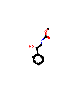 COC(=O)NC[C@@H](O)c1ccccc1